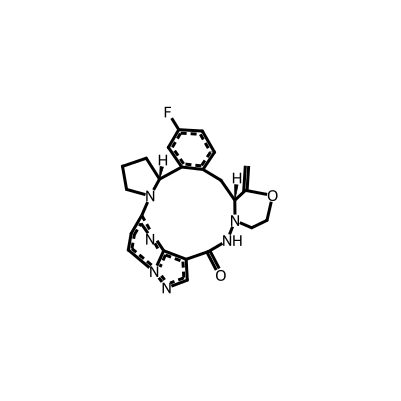 C=C1OCCN2NC(=O)c3cnn4ccc(nc34)N3CCC[C@@H]3c3cc(F)ccc3C[C@H]12